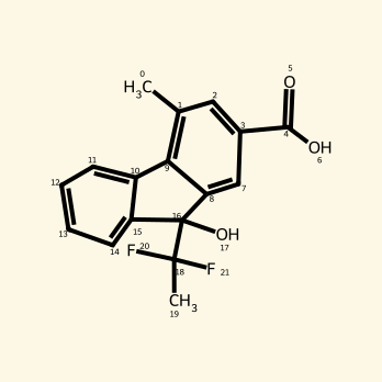 Cc1cc(C(=O)O)cc2c1-c1ccccc1C2(O)C(C)(F)F